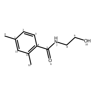 Cc1ccc(C(=O)NCCO)c(C)c1